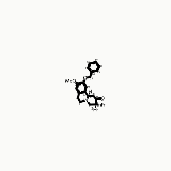 [2H][C@@]1(CCC)CN2CCc3cc(OC)c(OCc4ccccc4)cc3[C@H]2CC1=O